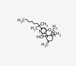 CCCCCCC(C)(C)c1cc2c(c(O)n1)[C@@H]1C[C@H](C)CC[C@@H]1C(C)(C)O2